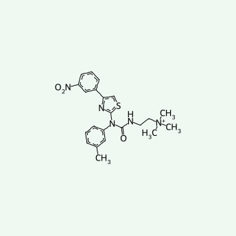 Cc1cccc(N(C(=O)NCC[N+](C)(C)C)c2nc(-c3cccc([N+](=O)[O-])c3)cs2)c1